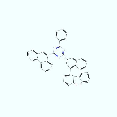 C1=CC2Oc3ccccc3C2C(C2=c3ccccc3=CC(c3nc(-c4ccccc4)nc(-c4cc5ccccc5c5ccccc45)n3)C2)=C1